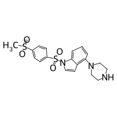 CS(=O)(=O)c1ccc(S(=O)(=O)n2ccc3c(N4CCNCC4)cccc32)cc1